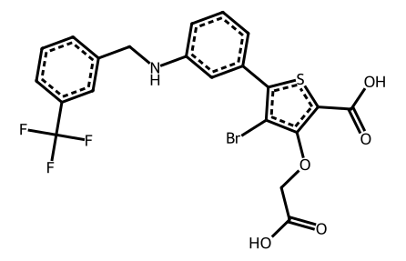 O=C(O)COc1c(C(=O)O)sc(-c2cccc(NCc3cccc(C(F)(F)F)c3)c2)c1Br